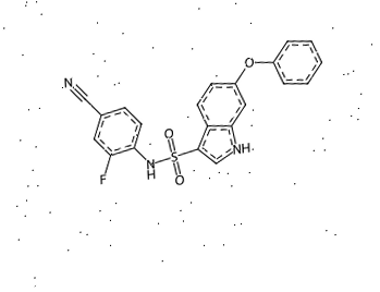 N#Cc1ccc(NS(=O)(=O)c2c[nH]c3cc(Oc4ccccc4)ccc23)c(F)c1